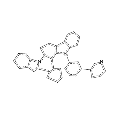 c1cncc(-c2cccc(-n3c4ccccc4c4ccc5c(c6ccccc6c6cc7ccccc7n65)c43)c2)c1